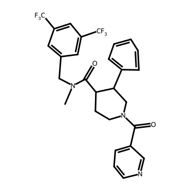 CN(Cc1cc(C(F)(F)F)cc(C(F)(F)F)c1)C(=O)C1CCN(C(=O)c2cccnc2)CC1c1ccccc1